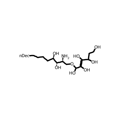 CCCCCCCCCCCCCC[C@@H](O)[C@@H](O)[C@@H](N)COC(O)/C(O)=C(\O)C(O)CCO